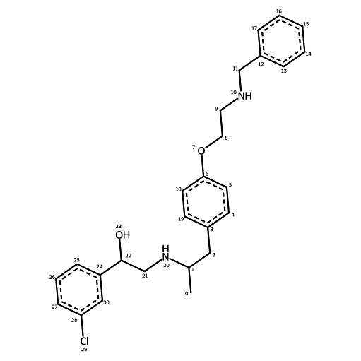 CC(Cc1ccc(OCCNCc2ccccc2)cc1)NCC(O)c1cccc(Cl)c1